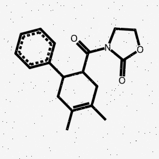 CC1=C(C)CC(c2ccccc2)C(C(=O)N2CCOC2=O)C1